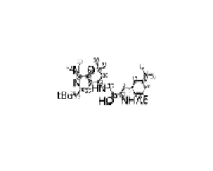 CC(=O)N[C@@H](Cc1cc(F)cc(N(C)C)c1)[C@@H](O)CN[C@H]1CC(C)(C)Oc2c1cc(CC(C)(C)C)nc2N(C)C